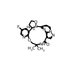 CC1(C)COc2ncc(F)cc2[C@H]2CCON2c2ccn3ncc(c3n2)C(=O)N1